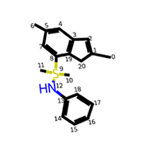 CC1=Cc2cc(C)cc(S(C)(C)Nc3ccccc3)c2C1